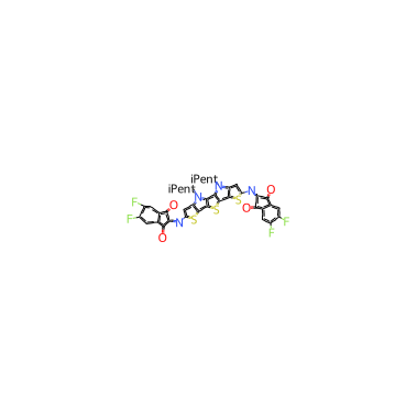 CCCC(C)n1c2cc(N=c3c(=O)c4cc(F)c(F)cc4c3=O)sc2c2sc3c4sc(N=c5c(=O)c6cc(F)c(F)cc6c5=O)cc4n(C(C)CCC)c3c21